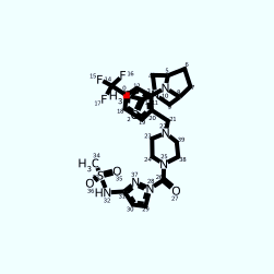 CC(=O)N1CC2CCC(C1)N2c1cc(C(F)(F)F)ccc1CN1CCN(C(=O)n2ccc(NS(C)(=O)=O)n2)CC1